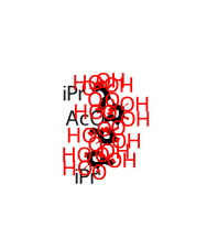 CC(=O)OCC1O[C@@H](O[C@@H]2C(CO)O[C@H](OC(C)C)C(O)(O)[C@H]2O)[C@H](O)[C@@H](O)[C@@H]1O[C@@H]1OC(CO)[C@@H](O[C@H]2OC(CO)[C@@H](OC(C)C)[C@H](O)C2O)[C@H](O)C1O